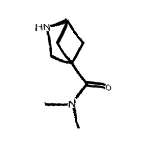 CN(C)C(=O)C12CNC(C1)C2